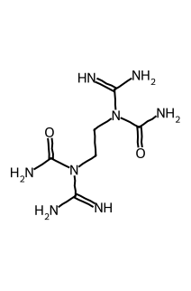 N=C(N)N(CCN(C(=N)N)C(N)=O)C(N)=O